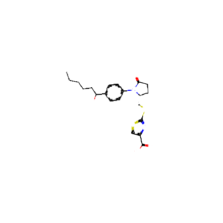 CCCCCC(O)c1ccc(N2C(=O)CC[C@@H]2CSc2nc(C(=O)O)cs2)cc1